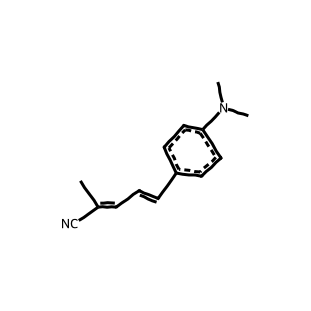 CC(C#N)=CC=Cc1ccc(N(C)C)cc1